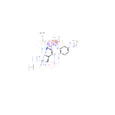 CCS(=O)(=O)Nc1cc(N2CCC2)ccc1Nc1cc(NC(=O)C2CC2)nc2[nH]n(C)c(=O)c12